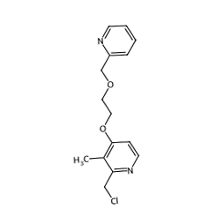 Cc1c(OCCOCc2ccccn2)ccnc1CCl